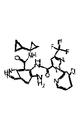 Nc1cc2cn[nH]c2c(C(=O)NC2(C3CC3)CC2)c1NC(=O)c1cc(C(F)(F)F)nn1-c1ncccc1Cl